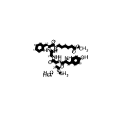 COC(=O)CCCCCNC(=O)[C@H](CC1CCCCC1)NC(=O)CNC(=O)[C@@H](CCSC)NC(=O)[C@@H](N)Cc1ccc(O)cc1.Cl.O